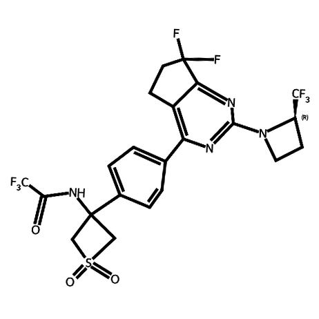 O=C(NC1(c2ccc(-c3nc(N4CC[C@@H]4C(F)(F)F)nc4c3CCC4(F)F)cc2)CS(=O)(=O)C1)C(F)(F)F